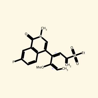 C=C(/C=C(\C(=C/C)OC)c1cn(C)c(=O)c2cc(F)ccc12)S(=O)(=O)CC